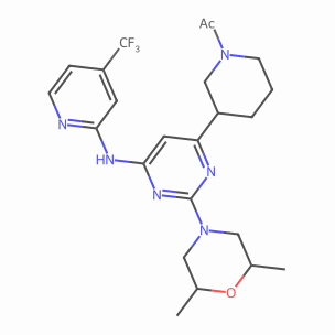 CC(=O)N1CCCC(c2cc(Nc3cc(C(F)(F)F)ccn3)nc(N3CC(C)OC(C)C3)n2)C1